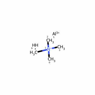 C[N+](C)(C)C.[Al+3].[HH]